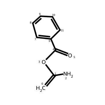 C=C(N)OC(=O)c1ccccc1